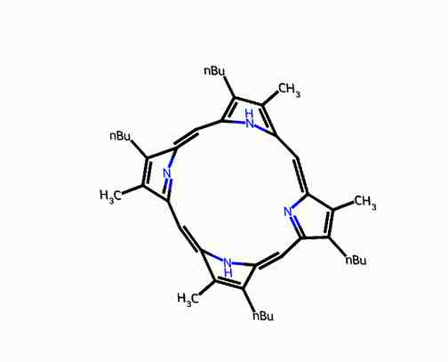 CCCCC1=C(C)c2cc3[nH]c(cc4nc(cc5[nH]c(cc1n2)c(CCCC)c5C)C(C)=C4CCCC)c(CCCC)c3C